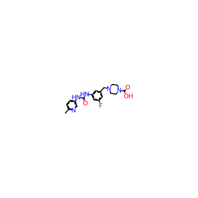 Cc1ccc(NC(=O)Nc2cc(F)cc(CN3CCN(C(=O)O)CC3)c2)cn1